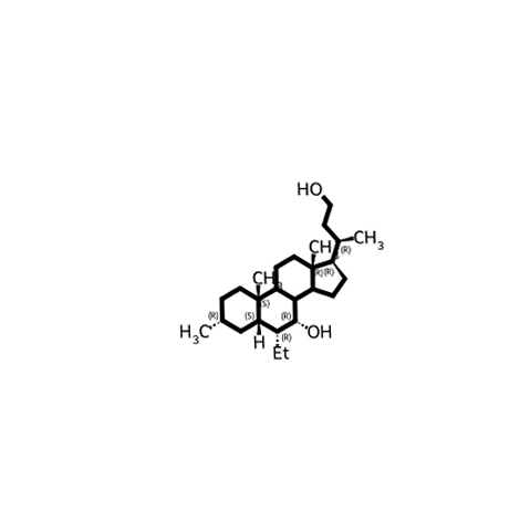 CC[C@H]1[C@@H](O)C2C3CC[C@H]([C@H](C)CCO)[C@@]3(C)CCC2[C@@]2(C)CC[C@@H](C)C[C@@H]12